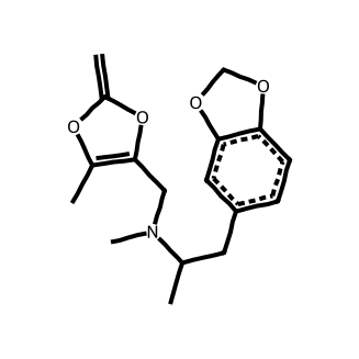 C=C1OC(C)=C(CN(C)C(C)Cc2ccc3c(c2)OCO3)O1